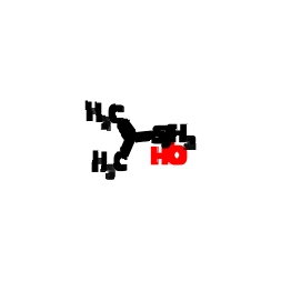 C=C(C)[SiH2]O